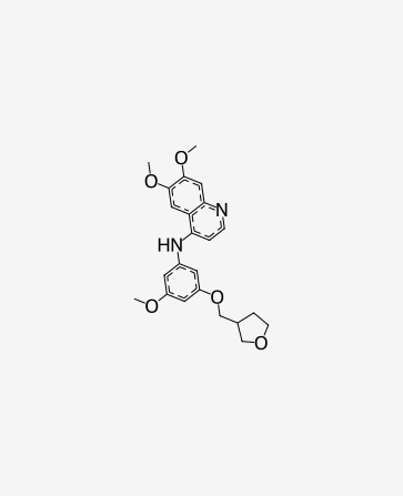 COc1cc(Nc2ccnc3cc(OC)c(OC)cc23)cc(OCC2CCOC2)c1